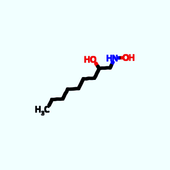 CCCCCCCC(O)CNO